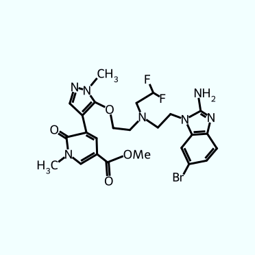 COC(=O)c1cc(-c2cnn(C)c2OCCN(CCn2c(N)nc3ccc(Br)cc32)CC(F)F)c(=O)n(C)c1